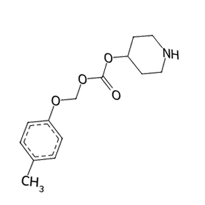 Cc1ccc(OCOC(=O)OC2CCNCC2)cc1